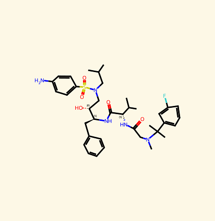 CC(C)CN(C[C@@H](O)[C@H](Cc1ccccc1)NC(=O)[C@@H](NC(=O)CN(C)C(C)(C)c1cccc(F)c1)C(C)C)S(=O)(=O)c1ccc(N)cc1